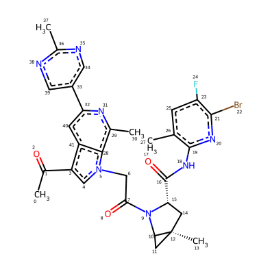 CC(=O)c1cn(CC(=O)N2C3C[C@]3(C)C[C@H]2C(=O)Nc2nc(Br)c(F)cc2C)c2c(C)nc(-c3cnc(C)nc3)cc12